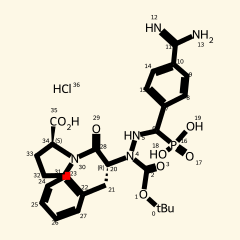 CC(C)(C)OC(=O)N(NC(c1ccc(C(=N)N)cc1)P(=O)(O)O)[C@H](Cc1ccccc1)C(=O)N1CCC[C@H]1C(=O)O.Cl